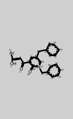 CC(=O)/C(O)=C/C(=O)c1cc(Cc2ccccc2)cn(Cc2ccccc2)c1=O